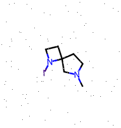 CN1CCC2(CCN2I)C1